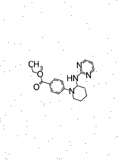 CCOC(=O)c1ccc(N2CCCCC2Nc2ncccn2)cc1